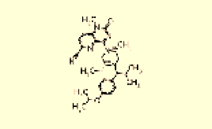 CC[C@@H]1CN(c2nc(=O)n(C)c3ccc(C#N)nc23)[C@@H](C)CN1C(c1ccc(OC(C)C)cc1)C(C)C